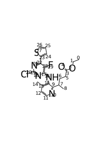 CCOC(=O)CCC(C)c1nccc(C)c1Nc1nc(Cl)nc(-c2cccs2)c1F